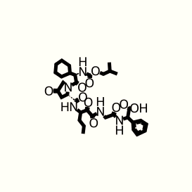 CCCC(NC(=O)[C@@H]1CC(=O)CN1C(=O)[C@@H](NC(=O)OCC(C)C)C1CCCCC1)C(=O)C(=O)NCC(=O)NC(C(=O)O)c1ccccc1